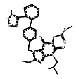 CCc1nc2c(c(=O)n(CC(=O)OC)c(=O)n2CC(C)C)n1Cc1ccc(-c2ccccc2-c2nnn[nH]2)cc1